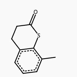 Cc1cccc2c1SC(=O)CC2